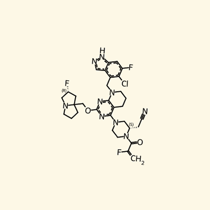 C=C(F)C(=O)N1CCN(c2nc(OCC34CCCN3C[C@H](F)C4)nc3c2CCCN3Cc2c(Cl)c(F)cc3[nH]ncc23)C[C@@H]1CC#N